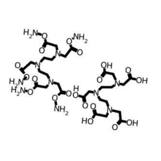 NOC(=O)CN(CCN(CC(=O)ON)CC(=O)ON)CCN(CC(=O)ON)CC(=O)ON.O=C(O)CN(CCN(CC(=O)O)CC(=O)O)CCN(CC(=O)O)CC(=O)O